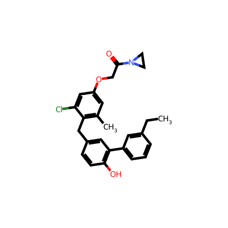 CCc1cccc(-c2cc(Cc3c(C)cc(OCC(=O)N4CC4)cc3Cl)ccc2O)c1